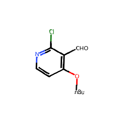 CCCCOc1ccnc(Cl)c1C=O